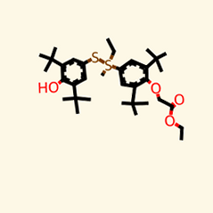 CCOC(=O)COc1c(C(C)(C)C)cc(S(C)(CC)Sc2cc(C(C)(C)C)c(O)c(C(C)(C)C)c2)cc1C(C)(C)C